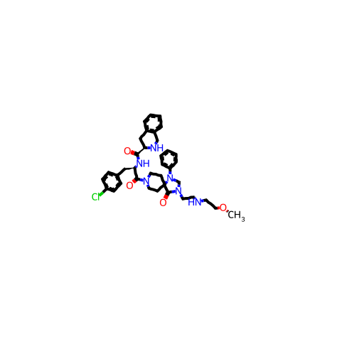 COCCNCCN1CN(c2ccccc2)C2(CCN(C(=O)[C@@H](Cc3ccc(Cl)cc3)NC(=O)[C@H]3Cc4ccccc4CN3)CC2)C1=O